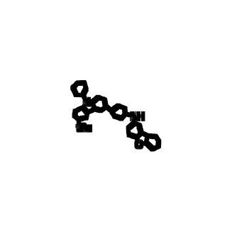 CC(C)(C)c1ccc2c(c1)c1cc(-c3ccc(Nc4ccc5oc6ccccc6c5c4)cc3)ccc1n2-c1ccccc1